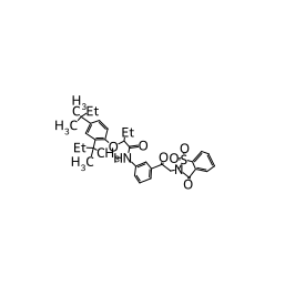 CCC(Oc1ccc(C(C)(C)CC)cc1C(C)(C)CC)C(=O)Nc1cccc(C(=O)CN2C(=O)c3ccccc3S2(=O)=O)c1